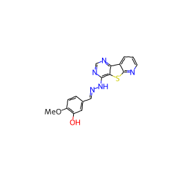 COc1ccc(C=NNc2ncnc3c2sc2ncccc23)cc1O